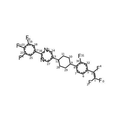 FC(F)=C(F)c1ccc(C2CCC(c3cnc(-c4cc(F)c(F)c(F)c4)nc3)CC2)c(F)c1